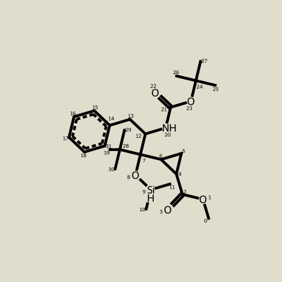 COC(=O)C1CC1C(O[SiH](C)C)(C(Cc1ccccc1)NC(=O)OC(C)(C)C)C(C)(C)C